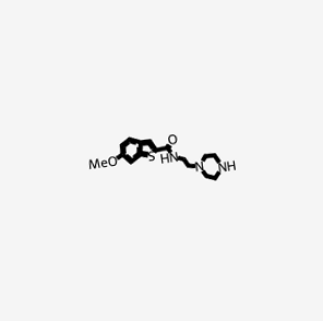 COc1ccc2cc(C(=O)NCCN3CCNCC3)sc2c1